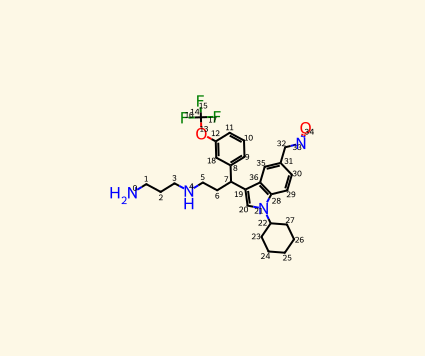 NCCCNCCC(c1cccc(OC(F)(F)F)c1)c1cn(C2CCCCC2)c2ccc(CN=O)cc12